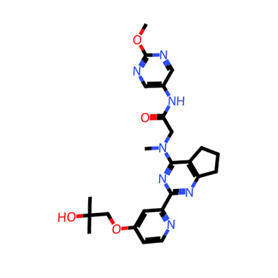 COc1ncc(NC(=O)CN(C)c2nc(-c3cc(OCC(C)(C)O)ccn3)nc3c2CCC3)cn1